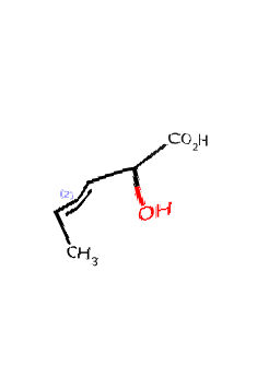 C/C=C\C(O)C(=O)O